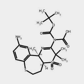 CC(C)(C)OC(=O)N(C(=O)O)C1=N[C@]2(C)c3cc(N)ccc3SCC[C@@H]2S(=O)(=O)C1(C)C